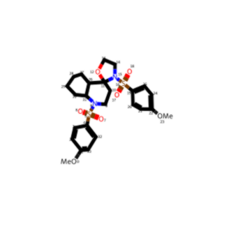 COc1ccc(S(=O)(=O)N2CCC3(OCCN3S(=O)(=O)c3ccc(OC)cc3)C3CCCCC32)cc1